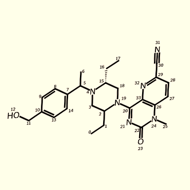 CCC1CN(C(C)c2ccc(CO)cc2)[C@H](CC)CN1c1nc(=O)n(C)c2ccc(C#N)nc12